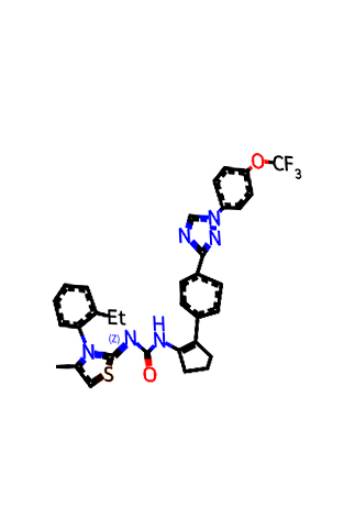 CCc1ccccc1-n1c(C)cs/c1=N\C(=O)NC1=C(c2ccc(-c3ncn(-c4ccc(OC(F)(F)F)cc4)n3)cc2)CCC1